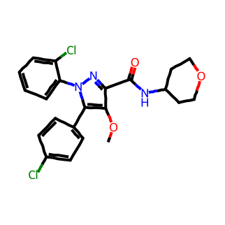 COc1c(C(=O)NC2CCOCC2)nn(-c2ccccc2Cl)c1-c1ccc(Cl)cc1